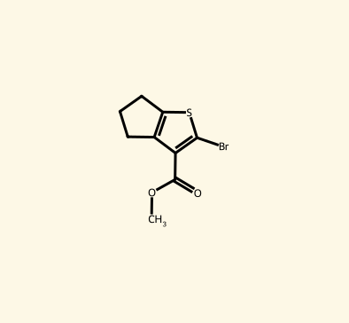 COC(=O)c1c(Br)sc2c1CCC2